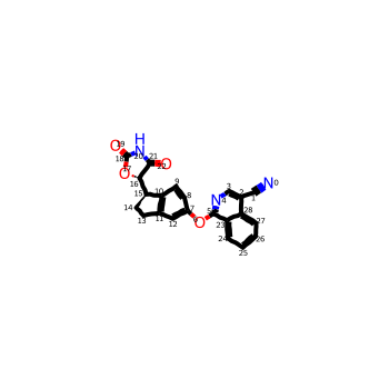 N#Cc1cnc(Oc2ccc3c(c2)CC[C@H]3[C@@H]2OC(=O)NC2=O)c2ccccc12